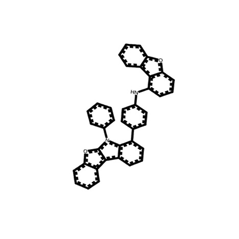 c1ccc(-n2c3oc4ccccc4c3c3cccc(-c4ccc(Nc5cccc6oc7ccccc7c56)cc4)c32)cc1